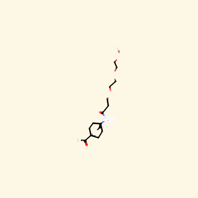 CC(C)OCCOCCOCCC(=O)NC12CCC(C(=O)C(C)C)(CC1)CC2